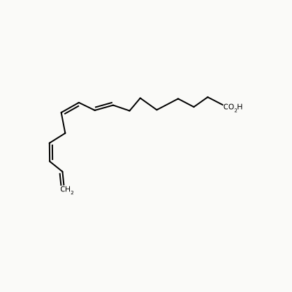 C=C/C=C\C/C=C\C=C\CCCCCCC(=O)O